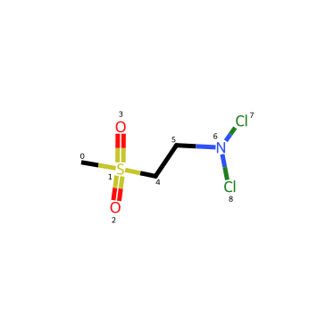 CS(=O)(=O)CCN(Cl)Cl